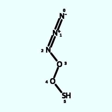 [N-]=[N+]=NOOS